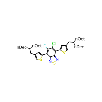 CCCCCCCCCCC(CCCCCCCC)Cc1csc(-c2c(F)c(Cl)c(-c3cc(CC(CCCCCCCC)CCCCCCCCCC)cs3)c3nsnc23)c1